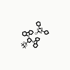 CC1(C)OB(c2cc(-n3c4ccccc4c4ccccc43)cc(-n3c4ccccc4c4ccccc43)c2)OC1(C)C.Clc1nc(-c2ccccc2)nc(-c2ccccc2)n1